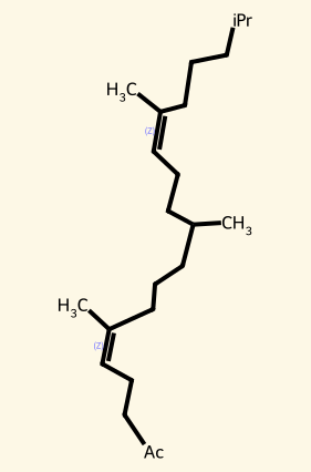 CC(=O)CC/C=C(/C)CCCC(C)CC/C=C(/C)CCCC(C)C